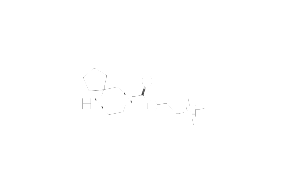 C[Si](C)(C)CCOC(=O)N1CCNC2(CCCC2)C1